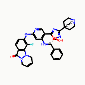 O=c1c2ccc(Nc3cc(N[C@H](CO)c4ccccc4)c(-c4nc(C56CCN(CC5)CC6)no4)cn3)c(F)c2n2n1CC=CC2